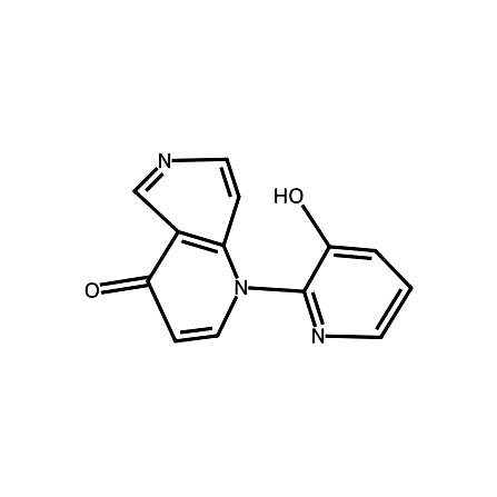 O=c1ccn(-c2ncccc2O)c2ccncc12